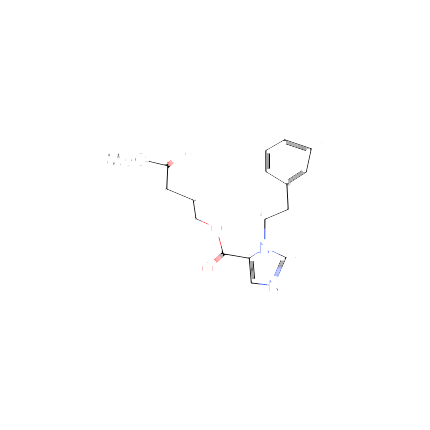 COC(=O)CCCOC(=O)c1cncn1CCc1ccccc1